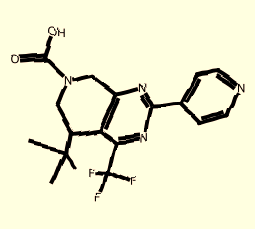 CC(C)(C)C1CN(C(=O)O)Cc2nc(-c3ccncc3)nc(C(F)(F)F)c21